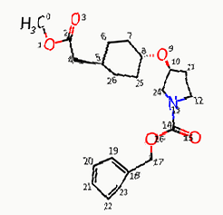 COC(=O)C[C@H]1CC[C@H](O[C@H]2CCN(C(=O)OCc3ccccc3)C2)CC1